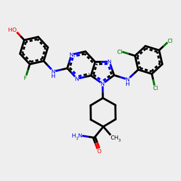 CC1(C(N)=O)CCC(n2c(Nc3c(Cl)cc(Cl)cc3Cl)nc3cnc(Nc4ccc(O)cc4F)nc32)CC1